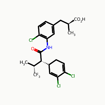 C[C@H]([C@H](C(=O)Nc1cc(C[C@H](C)C(=O)O)ccc1Cl)C1C=C(Cl)C(Cl)=CC1)C(F)(F)F